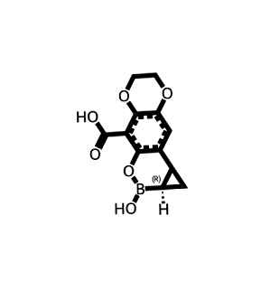 O=C(O)c1c2c(cc3c1OB(O)[C@@H]1CC31)OCCO2